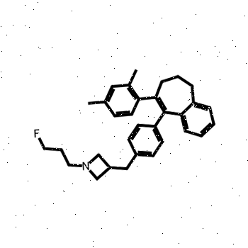 Cc1ccc(C2=C(c3ccc(CC4CN(CCCF)C4)cc3)c3ccccc3CCC2)c(C)c1